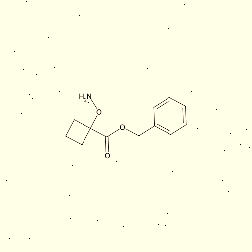 NOC1(C(=O)OCc2ccccc2)CCC1